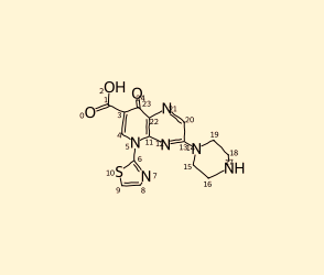 O=C(O)c1cn(-c2nccs2)c2nc(N3CCNCC3)cnc2c1=O